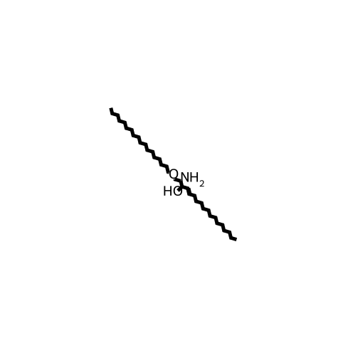 CCCCCCCCCCCCCC=CC(O)C(N)COCCCCCCCCCCCCCCCCCC